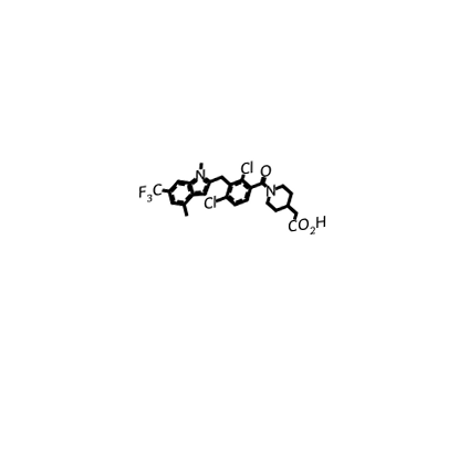 Cc1cc(C(F)(F)F)cc2c1cc(Cc1c(Cl)ccc(C(=O)N3CCC(CC(=O)O)CC3)c1Cl)n2C